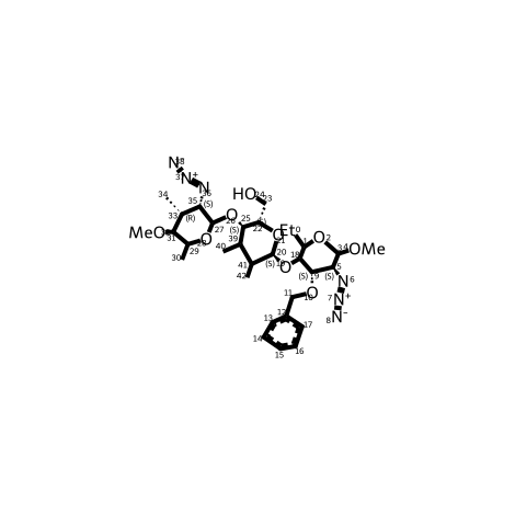 CCC1OC(OC)[C@@H](N=[N+]=[N-])[C@H](OCc2ccccc2)C1O[C@@H]1O[C@@H](CO)[C@@H](OC2OC(C)C(OC)[C@H](C)[C@@H]2N=[N+]=[N-])C(C)C1C